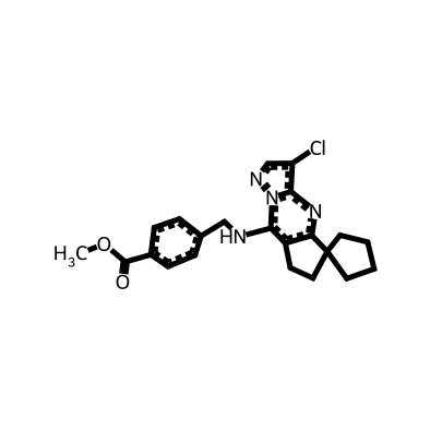 COC(=O)c1ccc(CNc2c3c(nc4c(Cl)cnn24)C2(CCCC2)CC3)cc1